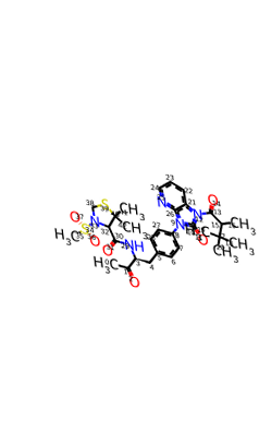 CC(=O)[C@H](Cc1ccc(-n2c(=O)n(C(=O)C(C)C(C)(C)C)c3cccnc32)cc1)NC(=O)C1N(S(C)(=O)=O)CSC1(C)C